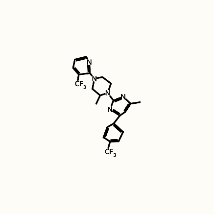 Cc1cc(-c2ccc(C(F)(F)F)cc2)nc(N2CCN(c3ncccc3C(F)(F)F)CC2C)n1